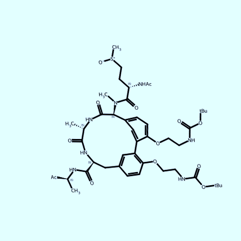 CC(=O)N[C@@H](CC[S+](C)[O-])C(=O)N(C)[C@@H]1C(=O)N[C@@H](C)C(=O)N[C@H](C(=O)N[C@@H](C)C(C)=O)Cc2ccc(OCCNC(=O)OC(C)(C)C)c(c2)-c2cc1ccc2OCCNC(=O)OC(C)(C)C